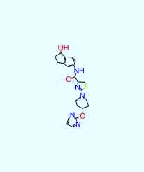 O=C(Nc1ccc2c(c1)CCC2O)c1csc(N2CCC(Oc3ncccn3)CC2)n1